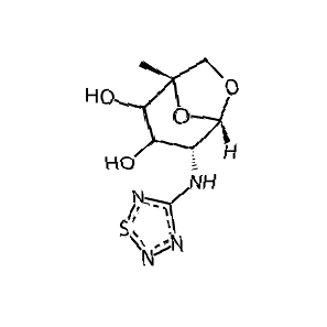 C[C@@]12CO[C@@H](O1)[C@H](Nc1nnsn1)C(O)C2O